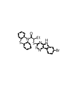 CCC(Sc1nnc2c(n1)[nH]c1cc(Br)ccc12)C(=O)N1c2ccccc2Sc2ccccc21